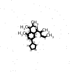 C=C(/C=C\C)C1=NC(C)C(C)c2c(C)cc(C3CCCC3)cc21